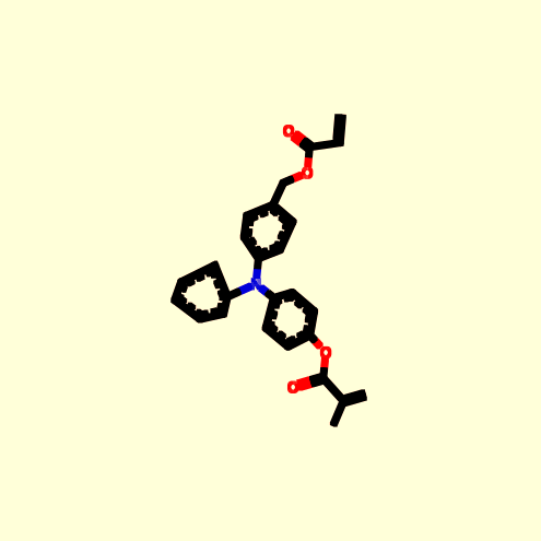 C=CC(=O)OCc1ccc(N(c2ccccc2)c2ccc(OC(=O)C(=C)C)cc2)cc1